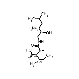 CC[C@H](C)[C@H](NC(=O)NCC(O)[C@@H](N)CC(C)C)C(=O)O